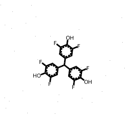 Oc1c(F)cc(C(c2cc(F)c(O)c(F)c2)c2cc(F)c(O)c(F)c2)cc1F